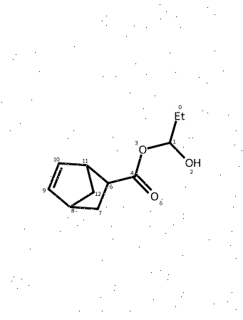 CCC(O)OC(=O)C1CC2C=CC1C2